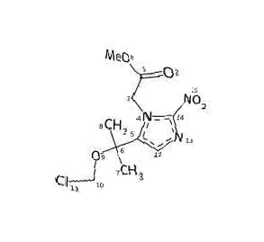 COC(=O)Cn1c(C(C)(C)OCCl)cnc1[N+](=O)[O-]